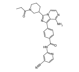 CCC(=O)N1CCCC(c2nc(-c3ccc(C(=O)Nc4cc(C#N)ccn4)cc3)c3c(N)nccn23)C1